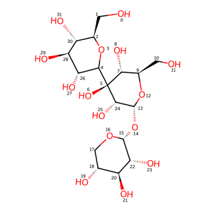 OC[C@H]1OC([C@]2(O)[C@H](O)[C@@H](CO)O[C@H](O[C@H]3OC[C@@H](O)[C@H](O)[C@H]3O)[C@@H]2O)[C@H](O)[C@@H](O)[C@@H]1O